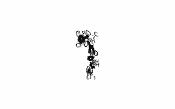 O=C(O)CC(NC(=O)C1CC(=O)N(c2cccc(NC3=NCC(OC(=O)C(F)(F)F)CN3)c2)C1)c1cc(Cl)cc(Cl)c1